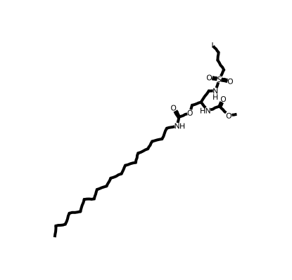 CCCCCCCCCCCCCCCCCCNC(=O)OCC(CNS(=O)(=O)CCCI)NC(=O)OC